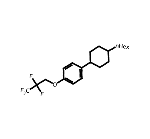 CCCCCCC1CC[C](c2ccc(OCC(F)(F)C(F)(F)F)cc2)CC1